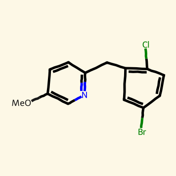 COc1ccc(Cc2cc(Br)ccc2Cl)nc1